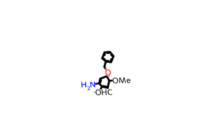 COC1C=C([C]=O)C(N)=C[C]1OCc1ccccc1